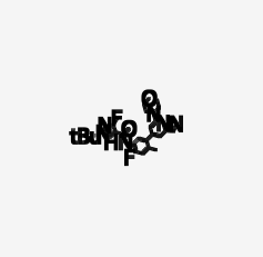 Cc1cc(F)c(NC(=O)c2cn(C(C)(C)C)nc2F)cc1-c1cc(N2CCOCC2)n2cncc2c1